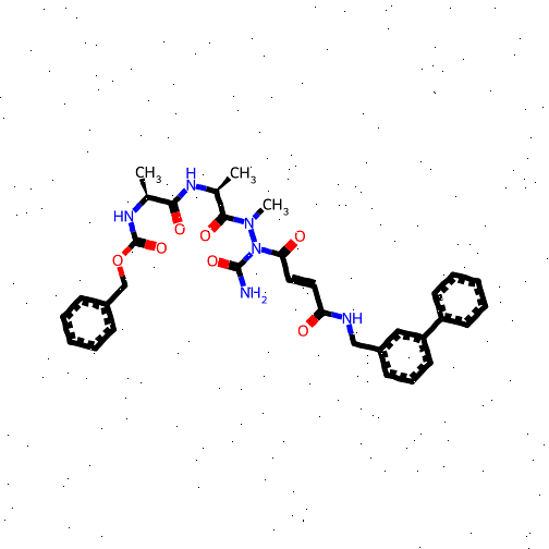 C[C@H](NC(=O)OCc1ccccc1)C(=O)N[C@@H](C)C(=O)N(C)N(C(N)=O)C(=O)/C=C/C(=O)NCc1cccc(-c2ccccc2)c1